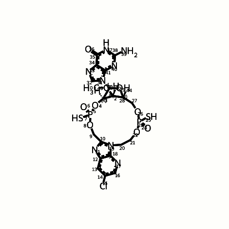 CO[C@H]1[C@H]2OP(=O)(S)OCc3nc4cc(Cl)cnc4n3CCOP(=O)(S)OC[C@H]1O[C@H]2n1cnc2c(=O)[nH]c(N)nc21